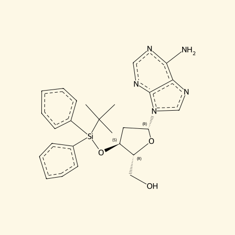 CC(C)(C)[Si](O[C@H]1C[C@H](n2cnc3c(N)ncnc32)O[C@@H]1CO)(c1ccccc1)c1ccccc1